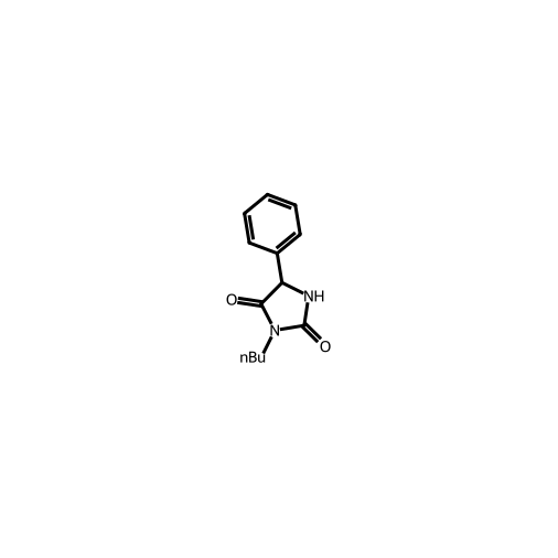 CCCCN1C(=O)NC(c2ccccc2)C1=O